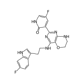 O=c1[nH]cc(F)cc1-c1nc2c(c(NCCc3c[nH]c4cc(F)ccc34)n1)OCCN2